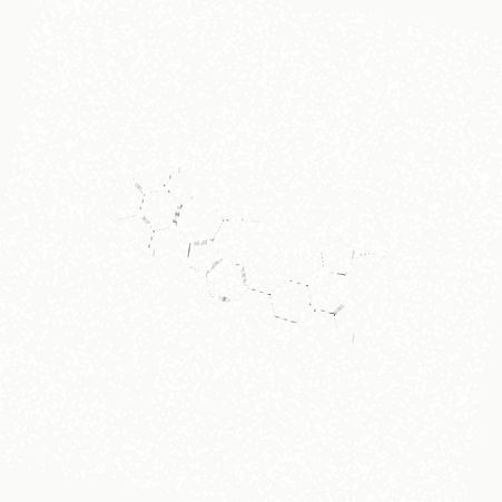 Cc1c(-c2[nH]c3ccc(C4CCN(C(=O)O)C(C5CCN(C)C5)C4)cc3c2C(C)C)cn(C)c(=O)c1Cl